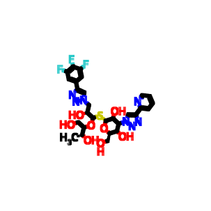 C[C@@H](O)C(CO)OC(S[C@@H]1O[C@H](CO)C(O)C(n2cc(-c3ccccn3)nn2)C1O)[C@@H](O)Cn1cc(-c2cc(F)c(F)c(F)c2)nn1